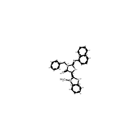 CN1/C(=C2/S/C(=N\c3cccc4ccccc34)N(Cc3ccccc3)C2=O)Sc2ccccc21